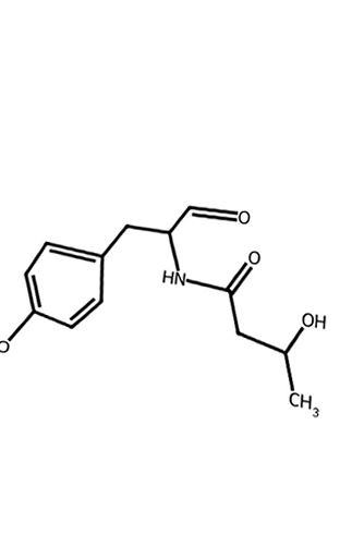 CC(O)CC(=O)NC(C=O)Cc1ccc(O)cc1